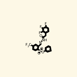 O=C(Cc1ccc(F)c(F)c1F)N/N=C/c1cc(C(F)(F)F)ccc1S(=O)(=O)Oc1ccccc1